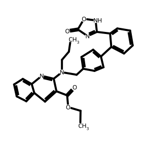 CCCN(Cc1ccc(-c2ccccc2-c2nc(=O)o[nH]2)cc1)c1nc2ccccc2cc1C(=O)OCC